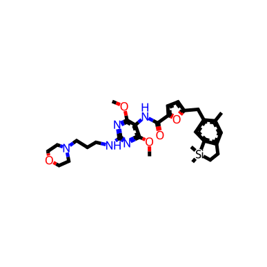 COc1nc(NCCCN2CCOCC2)nc(OC)c1NC(=O)c1ccc(Cc2cc3c(cc2C)CC[Si]3(C)C)o1